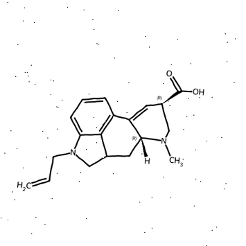 C=CCN1CC2C[C@@H]3C(=C[C@@H](C(=O)O)CN3C)c3cccc1c32